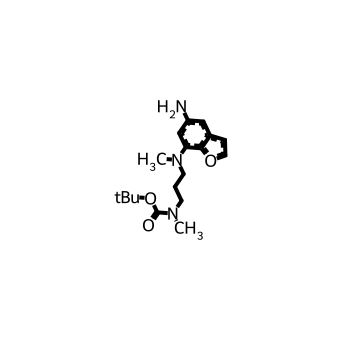 CN(CCCN(C)c1cc(N)cc2ccoc12)C(=O)OC(C)(C)C